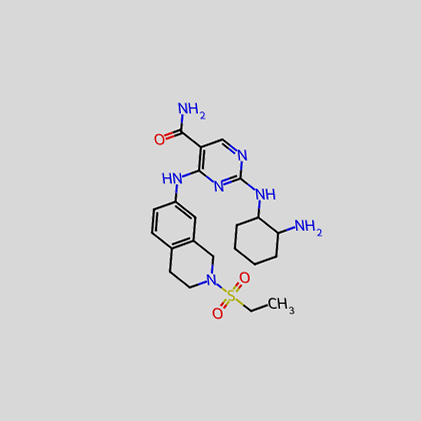 CCS(=O)(=O)N1CCc2ccc(Nc3nc(NC4CCCCC4N)ncc3C(N)=O)cc2C1